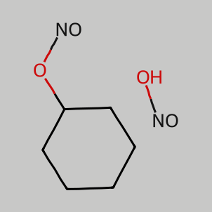 O=NO.O=NOC1CCCCC1